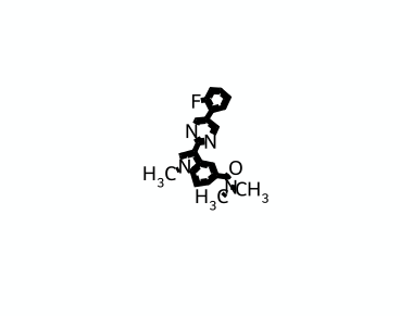 CN(C)C(=O)c1ccc2c(c1)c(-c1ncc(-c3ccccc3F)cn1)cn2C